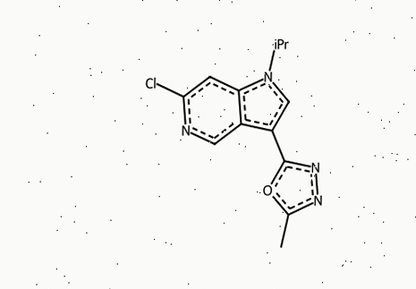 Cc1nnc(-c2cn(C(C)C)c3cc(Cl)ncc23)o1